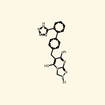 CCCC1=NC2=NN(CC)CN2C(O)=C1Cc1ccc(-c2ccccc2-c2nnn[nH]2)cc1